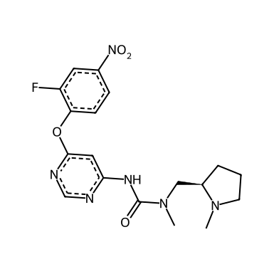 CN(C[C@H]1CCCN1C)C(=O)Nc1cc(Oc2ccc([N+](=O)[O-])cc2F)ncn1